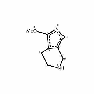 COc1noc2c1CCNC2